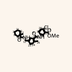 COC(=O)c1cc(NC(=O)c2cc(CNC(=O)C3(C)CCCCC3)ccc2C)ccc1Cl